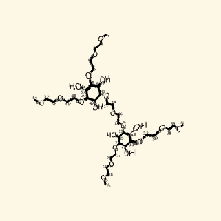 COCCOCCOC1C(O)[C@H](OCCOCCO[C@@H]2C(O)C(OCCOCCOC)[C@H](O)C(OCCOCCOC)[C@H]2O)[C@@H](O)C(OCCOCCOC)[C@@H]1O